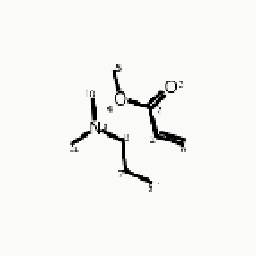 C=CC(=O)OC.[CH2]CCN(C)C